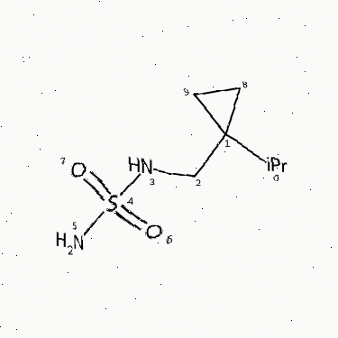 CC(C)C1(CNS(N)(=O)=O)CC1